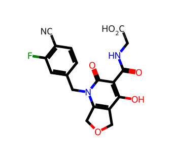 N#Cc1ccc(Cn2c3c(c(O)c(C(=O)NCC(=O)O)c2=O)COC3)cc1F